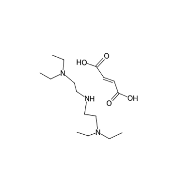 CCN(CC)CCNCCN(CC)CC.O=C(O)C=CC(=O)O